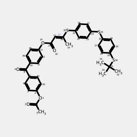 CC(=O)Oc1ccc(C(=O)c2ccc(OC(=O)/C=C(\C)Sc3ccc(Sc4ccc(SC(C)(C)C)cc4)cc3)cc2)cc1